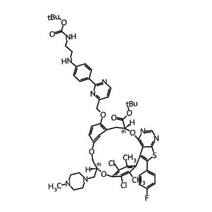 Cc1c(Cl)c2c(Cl)c(C)c1-c1c(-c3ccc(F)cc3)sc3ncnc(c13)O[C@@H](C(=O)OC(C)(C)C)Cc1cc(ccc1OCc1ccnc(-c3ccc(NCCNC(=O)OC(C)(C)C)cc3)n1)OC[C@@H](CN1CCN(C)CC1)O2